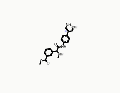 CNC(C(=O)Nc1ccc(/C(C=N)=C/N)cc1)c1cccc(C(=O)OC)c1